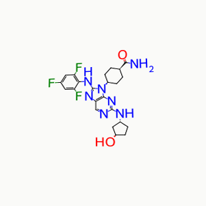 NC(=O)[C@H]1CC[C@@H](n2c(Nc3c(F)cc(F)cc3F)nc3cnc(N[C@@H]4CC[C@@H](O)C4)nc32)CC1